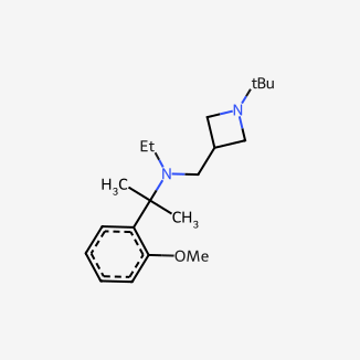 CCN(CC1CN(C(C)(C)C)C1)C(C)(C)c1ccccc1OC